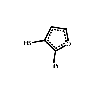 CC(C)c1occc1S